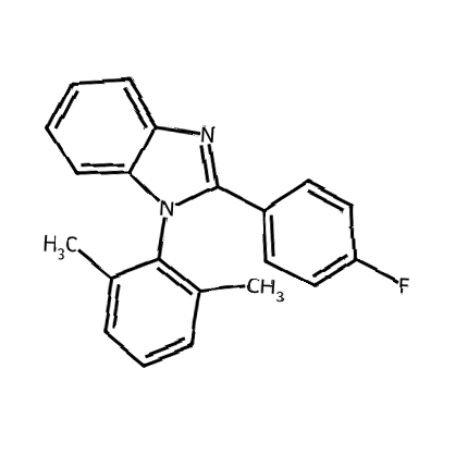 Cc1cccc(C)c1-n1c(-c2ccc(F)cc2)nc2ccccc21